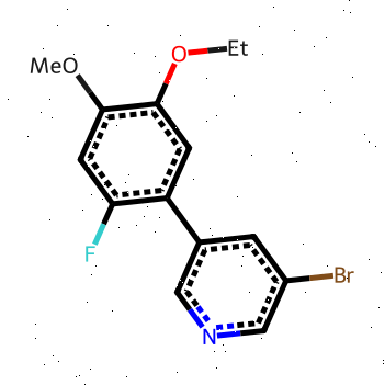 CCOc1cc(-c2cncc(Br)c2)c(F)cc1OC